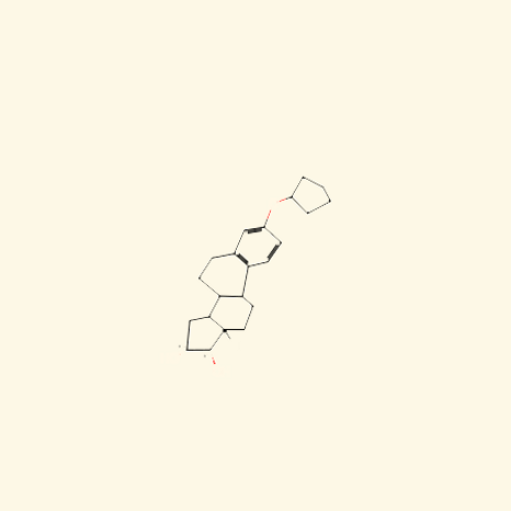 CC12CCC3c4ccc(OC5CCCC5)cc4CCC3C1C[C@@H](O)[C@@H]2O